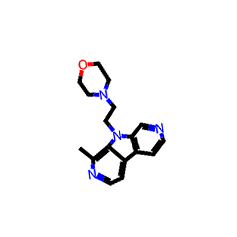 Cc1nccc2c3ccncc3n(CCN3CCOCC3)c12